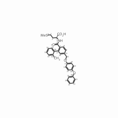 CSCC[C@H](NC(=O)c1ccc(COc2ccc(Oc3ccccc3)cc2)cc1-c1ccccc1C)C(=O)O